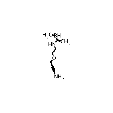 C=C(BC)NCCOCC#CN